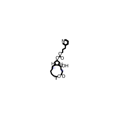 C[C@H]1CCC/C=C/[C@@H]2C[C@H](OC(=O)OCCCc3cccnc3)C[C@H]2[C@H](O)/C=C/C(=O)O1